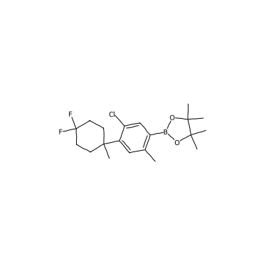 Cc1cc(C2(C)CCC(F)(F)CC2)c(Cl)cc1B1OC(C)(C)C(C)(C)O1